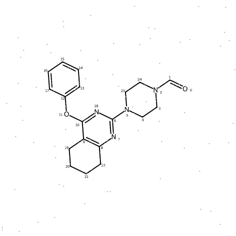 O=CN1CCN(c2nc3c(c(Oc4ccccc4)n2)CCCC3)CC1